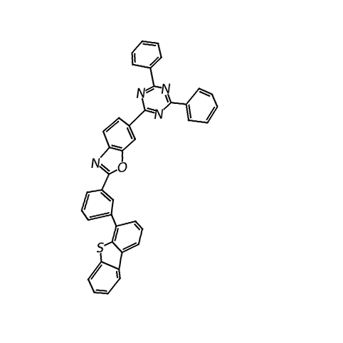 c1ccc(-c2nc(-c3ccccc3)nc(-c3ccc4nc(-c5cccc(-c6cccc7c6sc6ccccc67)c5)oc4c3)n2)cc1